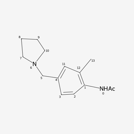 CC(=O)Nc1ccc(CN2CCCC2)cc1C